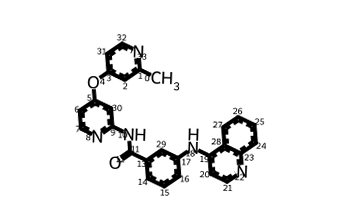 Cc1cc(Oc2ccnc(NC(=O)c3cccc(Nc4ccnc5ccccc45)c3)c2)ccn1